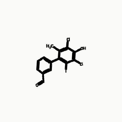 Cc1c(Cl)c(O)c(Cl)c(I)c1-c1cccc(C=O)c1